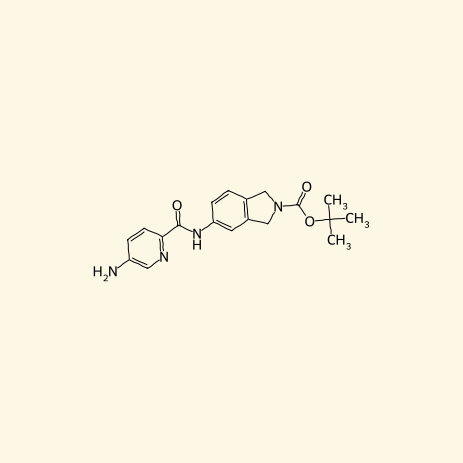 CC(C)(C)OC(=O)N1Cc2ccc(NC(=O)c3ccc(N)cn3)cc2C1